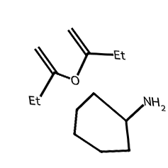 C=C(CC)OC(=C)CC.NC1CCCCC1